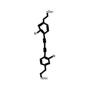 CCCCCCCCCCCCc1ccc(C#CC#Cc2ccc(CCCCCCCCCCCC)cc2Br)c(Br)c1